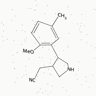 COc1ccc(C)cc1C1CNCC1CC#N